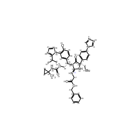 CC(C)(C)C[C@]1(c2ccc(-n3cnnc3)cc2)N/C(=N\CC(=O)OCc2ccccc2)N([C@H](COC(=O)NC2(C(F)(F)F)CC2)c2ccc(Cl)c(-n3ncnc3C(F)F)c2)C1=O